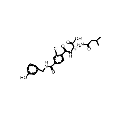 CC(C)CC(=O)NC[C@H](NC(=O)c1ccc(C(=O)NCc2cccc(O)c2)cc1Cl)C(=O)O